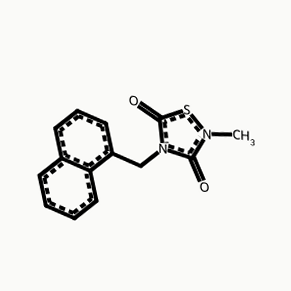 Cn1sc(=O)n(Cc2cccc3ccccc23)c1=O